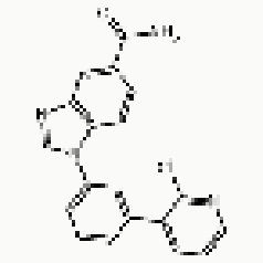 NC(=O)c1ccc2c(c1)ncn2-c1cccc(-c2cccnc2Cl)c1